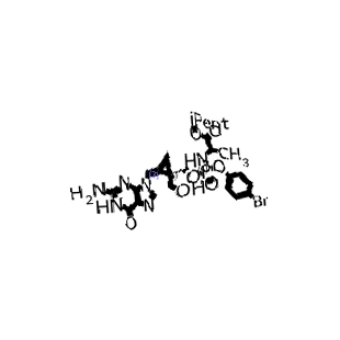 CCCC(C)OC(=O)C(C)N[P@](=O)(OC[C@@]1(CO)C/C1=C/n1cnc2c(=O)[nH]c(N)nc21)Oc1ccc(Br)cc1